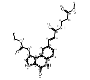 CCOC(=O)Oc1c[nH]c2c(=O)[nH]c3ccc(C=CC(=O)NCCC(=O)OC)cc3c12